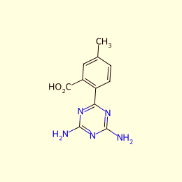 Cc1ccc(-c2nc(N)nc(N)n2)c(C(=O)O)c1